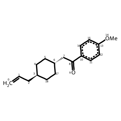 C=CC[C@H]1CC[C@H](CC(=O)c2ccc(OC)cc2)CC1